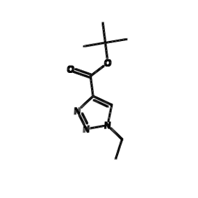 CCn1cc(C(=O)OC(C)(C)C)nn1